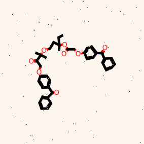 CCC(C)(CCOC(C)(C)C(=O)COc1ccc(C(=O)c2ccccc2)cc1)OC(=O)COc1ccc(C(=O)c2ccccc2)cc1